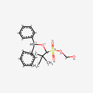 CC(C)(C)C(O[SiH](c1ccccc1)c1ccccc1)S(=O)(=O)OC[O]